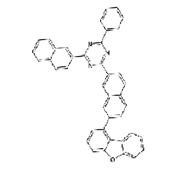 c1ccc(-c2nc(-c3ccc4ccccc4c3)nc(-c3ccc4ccc(-c5cccc6oc7ccccc7c56)cc4c3)n2)cc1